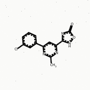 Cc1nc(-c2cccc(Cl)c2)cc(-c2nc(=O)o[nH]2)n1